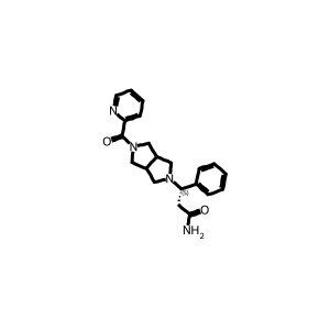 NC(=O)C[C@@H](c1ccccc1)N1CC2CN(C(=O)c3ccccn3)CC2C1